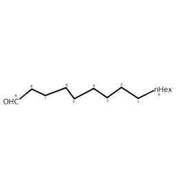 CCCC[CH]CCCCCCCCCC=O